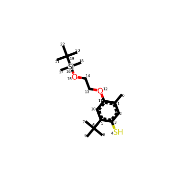 Cc1cc(S)c(C(C)(C)C)cc1OCCO[Si](C)(C)C(C)(C)C